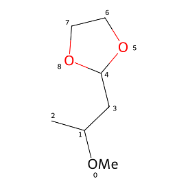 COC(C)CC1OCCO1